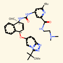 COC(C)(C)c1nnc2ccc(O[C@@H]3C=C[C@](C=O)(NC(=O)Nc4cc(C(=O)NCCN(C)C)nc(C(C)(C)C)c4)c4ccccc43)cn12